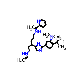 C=CNCCC(CCCNC(=C)c1ccccn1)C1=NC(c2ccc(C(=C)C)c(N(C)C)c2)=NC1